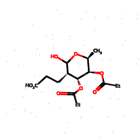 CCC(=O)O[C@H]1[C@H](OC(=O)CC)[C@H](CCC(=O)O)C(O)O[C@H]1C